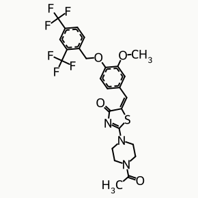 COc1cc(C=C2SC(N3CCN(C(C)=O)CC3)=NC2=O)ccc1OCc1ccc(C(F)(F)F)cc1C(F)(F)F